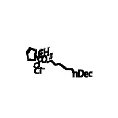 CCCCCCCCCCCCCCCCOC(=O)[N+]1(C)C=CC=CC1.[Cl-]